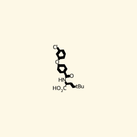 CC(C)(C)/C=C/[C@@H](NC(=O)c1ccc(Oc2cccc(Cl)c2)cc1)C(=O)O